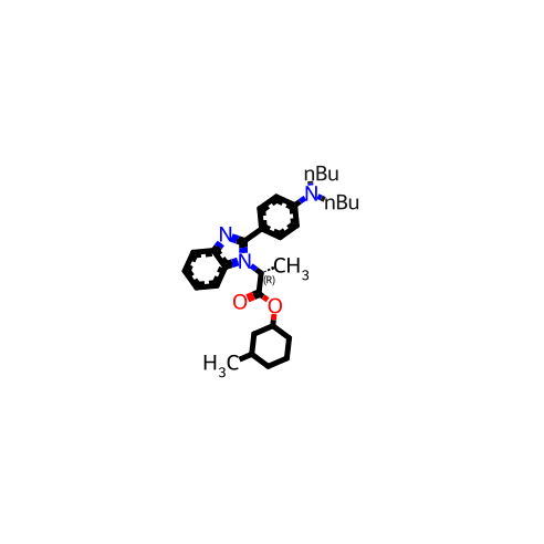 CCCCN(CCCC)c1ccc(-c2nc3ccccc3n2[C@H](C)C(=O)OC2CCCC(C)C2)cc1